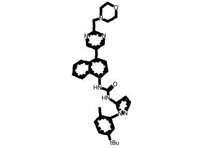 Cc1ccc(C(C)(C)C)cc1-n1nccc1NC(=O)Nc1ccc(-c2cnc(CN3CCOCC3)nc2)c2ccccc12